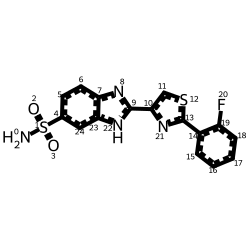 NS(=O)(=O)c1ccc2nc(-c3csc(-c4ccccc4F)n3)[nH]c2c1